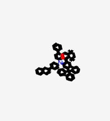 CC1(C)CCC(C)(C)c2c(-c3cc4c(cc3N(c3ccc(-c5ccccc5)cc3)c3ccc(-c5ccc6ccccc6c5)cc3)C(c3ccccc3)(c3ccccc3)c3ccccc3-4)cccc21